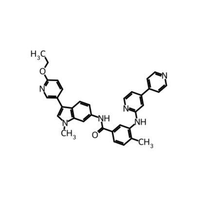 CCOc1ccc(-c2cn(C)c3cc(NC(=O)c4ccc(C)c(Nc5cc(-c6ccncc6)ccn5)c4)ccc23)cn1